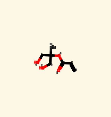 C=CC(=O)OC(CO)(CO)CCCC